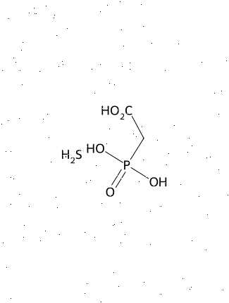 O=C(O)CP(=O)(O)O.S